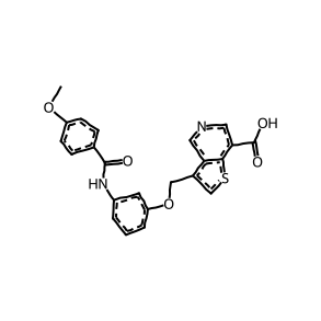 COc1ccc(C(=O)Nc2cccc(OCc3csc4c(C(=O)O)cncc34)c2)cc1